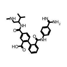 CNCC(NC(=O)c1ccc(-c2ccccc2C(=O)Nc2ccc(C(=N)N)cc2)c(C(=O)O)c1)C(C)C